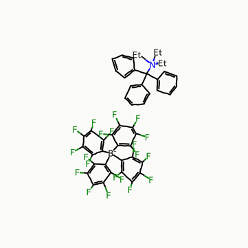 CC[N+](CC)(CC)C(c1ccccc1)(c1ccccc1)c1ccccc1.Fc1c(F)c(F)c([B-](c2c(F)c(F)c(F)c(F)c2F)(c2c(F)c(F)c(F)c(F)c2F)c2c(F)c(F)c(F)c(F)c2F)c(F)c1F